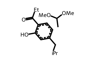 CCC(=O)c1ccc(CC(C)C)cc1O.COC(C)OC